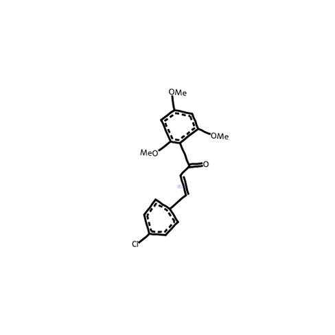 COc1cc(OC)c(C(=O)/C=C/c2ccc(Cl)cc2)c(OC)c1